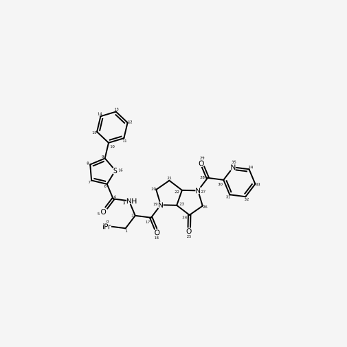 CC(C)CC(NC(=O)c1ccc(-c2ccccc2)s1)C(=O)N1CCC2C1C(=O)CN2C(=O)c1ccccn1